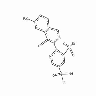 CCS(=N)(=O)c1cnc(-n2ncc3ccc(C(F)(F)F)cc3c2=O)c(S(=O)(=O)CC)c1